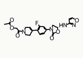 CC(=O)OCC(=O)N1CC=C(c2ccc(N3C[C@H](CNc4ccon4)OC3=O)cc2F)CC1